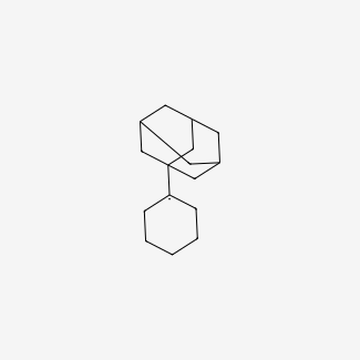 C1CC[C](C23CC4CC(CC(C4)C2)C3)CC1